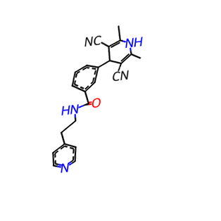 CC1=C(C#N)C(c2cccc(C(=O)NCCc3ccncc3)c2)C(C#N)=C(C)N1